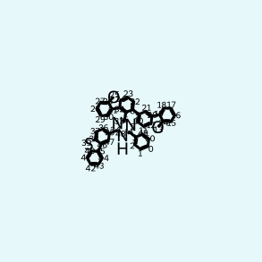 c1ccc(C2=NC(c3c(-c4ccc5oc6ccccc6c5c4)ccc4oc5ccccc5c34)=NC(c3ccc4sc5ccccc5c4c3)N2)cc1